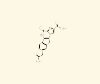 O=C(O)Cc1ccc2c(c1)Cc1c-2[nH]c(=O)c2nc(C(=O)O)cn12